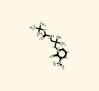 CC(O)(CNC(=O)OC(C)(C)C)Cn1cccc([N+](=O)[O-])c1=O